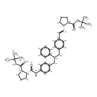 CC(C)(C)OC(=O)N1CCC[C@H]1/C=C/c1ccc(CN(Cc2ccc(NC(=O)[C@@H]3CCCN3C(=O)OC(C)(C)C)cc2)c2ccccc2)cc1